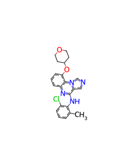 Cc1cccc(Cl)c1Nc1nc2cccc(OC3CCOCC3)c2n2cncc12